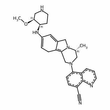 CO[C@H]1CNCC[C@H]1NC1=CCC2=C3CN(c4ccc(C#N)c5ncccc45)C[C@@H](C)N3CC2=C1